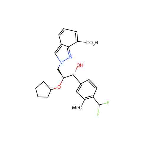 COc1cc([C@@H](O)[C@H](Cn2cc3cccc(C(=O)O)c3n2)OC2CCCC2)ccc1C(F)F